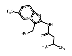 CC(CC(=O)Nc1nc2ccc(C(F)(F)F)cn2c1CC(C)(C)C)C(F)(F)F